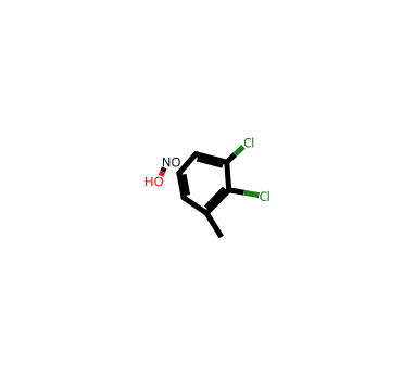 Cc1cccc(Cl)c1Cl.O=NO